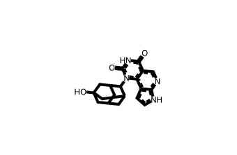 O=c1[nH]c(=O)n(C2C3CC4CC2CC(O)(C4)C3)c2c1cnc1[nH]ccc12